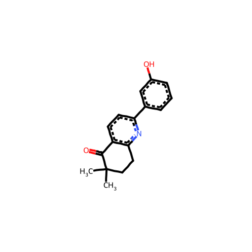 CC1(C)CCc2nc(-c3cccc(O)c3)ccc2C1=O